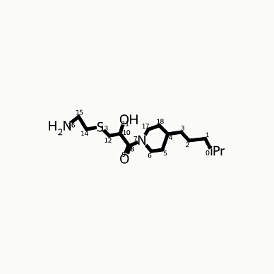 CC(C)CCCC1CCN(C(=O)C(O)CSCCN)CC1